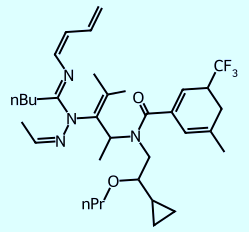 C=C/C=C\N=C(/CCCC)N(/N=C\C)C(=C(C)C)C(C)N(CC(OCCC)C1CC1)C(=O)C1=CC(C(F)(F)F)CC(C)=C1